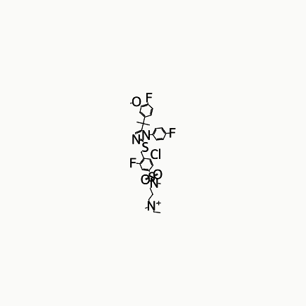 CC[N+](C)(C)CCCN(C)S(=O)(=O)c1cc(F)c(CSc2ncc(C(C)(C)c3ccc(F)c(OC)c3)n2-c2ccc(F)cc2)c(Cl)c1